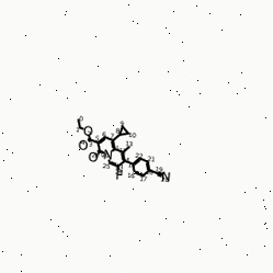 CCOC(=O)c1cc(C2CC2)c2c(C)c(-c3ccc(C#N)cc3)c(F)cn2c1=O